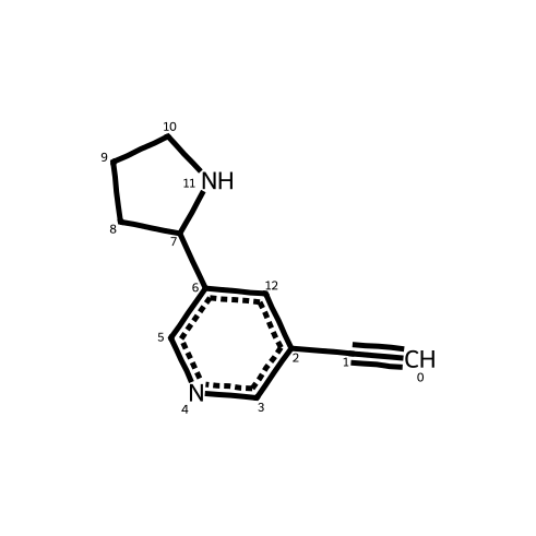 C#Cc1cncc(C2CCCN2)c1